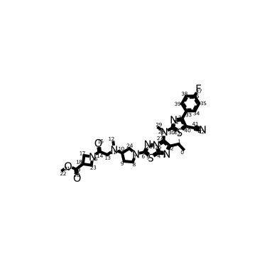 CCc1nc2sc(N3CCC(N(C)CC(=O)N4CC(C(=O)OC)C4)C3)nn2c1N(C)c1nc(-c2ccc(F)cc2)c(C#N)s1